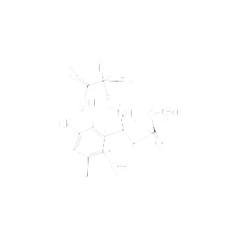 Cc1cc(Cl)cc(C(N)CC(=O)OC(C)(C)C)c1O.O=C(O)C(F)(F)F